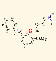 COc1cccc(/C=C/c2ccccc2)c1OCCCCN(C)C